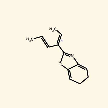 CC=C/C(=C\C)c1nc2c(o1)=CCCC=2